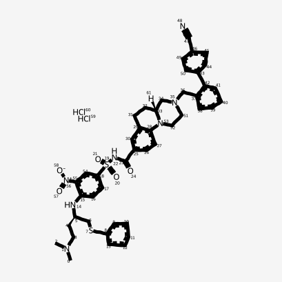 CN(C)CC[C@H](CSc1ccccc1)Nc1ccc(S(=O)(=O)NC(=O)c2ccc3c(c2)CC[C@@H]2CN(Cc4ccccc4-c4ccc(C#N)cc4)CCN32)cc1[N+](=O)[O-].Cl.Cl